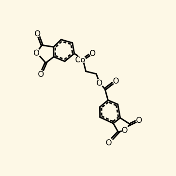 O=C(OC[CH2][Co](=[O])[c]1ccc2c(c1)C(=O)OC2=O)c1ccc2c(c1)C(=O)OC2=O